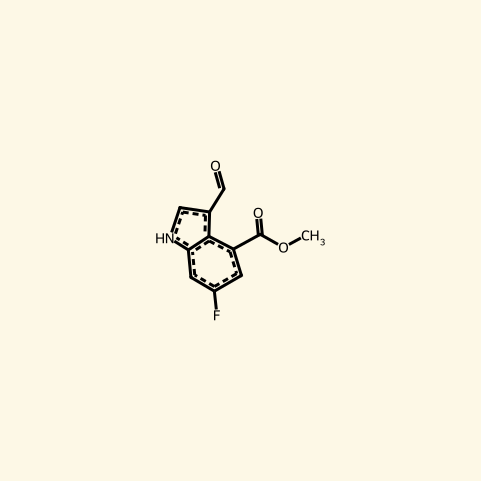 COC(=O)c1cc(F)cc2[nH]cc(C=O)c12